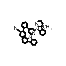 CC12C=CC=NC1N(c1cc(-c3ccccc3-c3ccccc3C#N)cc(-n3c4ccccc4c4ccccc43)n1)c1ccccc12